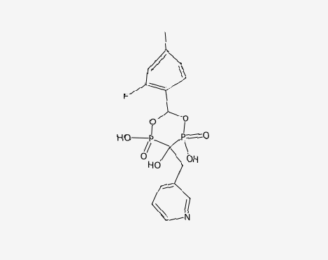 Cc1ccc(C2OP(=O)(O)C(O)(Cc3cccnc3)P(=O)(O)O2)c(F)c1